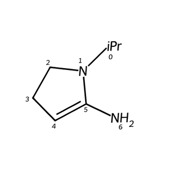 CC(C)N1CCC=C1N